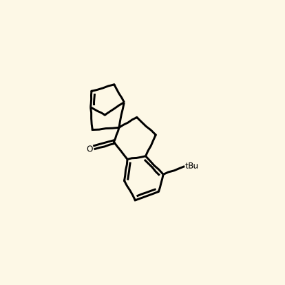 CC(C)(C)c1cccc2c1CCC1(CC3=CCC1C3)C2=O